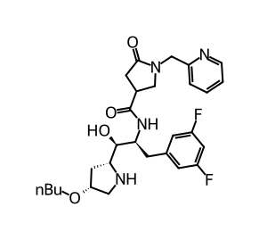 CCCCO[C@H]1CN[C@@H]([C@@H](O)[C@H](Cc2cc(F)cc(F)c2)NC(=O)C2CC(=O)N(Cc3ccccn3)C2)C1